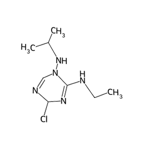 CCNC1=NC(Cl)N=CN1NC(C)C